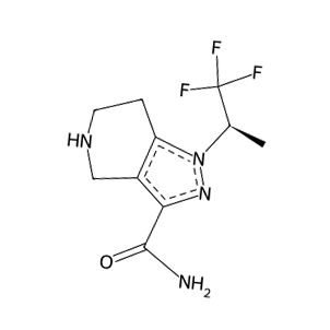 C[C@@H](n1nc(C(N)=O)c2c1CCNC2)C(F)(F)F